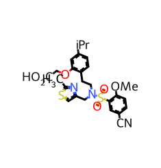 COc1ccc(C#N)cc1S(=O)(=O)N(CCc1ccc(C(C)C)cc1OCC(=O)O)Cc1csc(C)n1